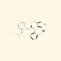 CCN(CC)CC1CCCCN1CC(=O)N1c2ccccc2NC(=O)c2c1c(Cl)cn2C